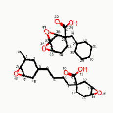 CC1CC(CCCCC2(C(=O)O)CCC3OC3C2)CC2OC12.O=C(O)C1(CC2CCCCC2)CCC2OC23OC13